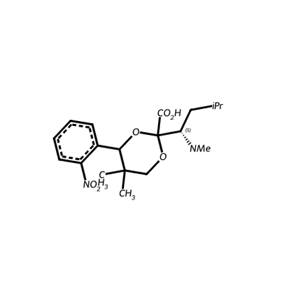 CN[C@@H](CC(C)C)C1(C(=O)O)OCC(C)(C)C(c2ccccc2[N+](=O)[O-])O1